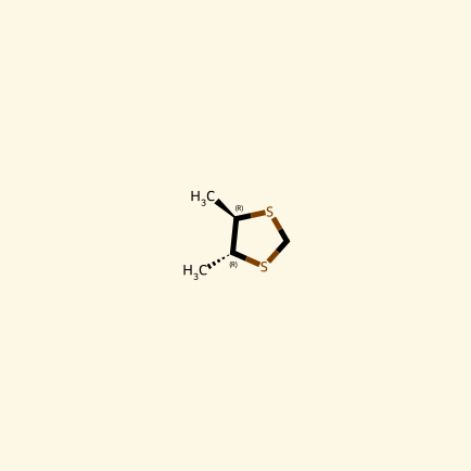 C[C@H]1SCS[C@@H]1C